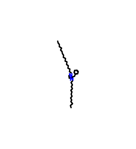 CCCCCCCCCCCCCCCCCCCN1C=CN(CCCCCCCCCCCCCCC)C1Cc1ccccc1